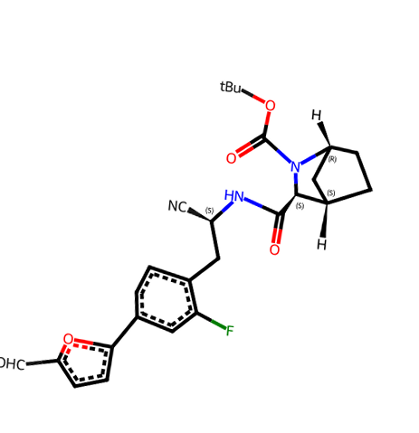 CC(C)(C)OC(=O)N1[C@@H]2CC[C@@H](C2)[C@H]1C(=O)N[C@H](C#N)Cc1ccc(-c2ccc(C=O)o2)cc1F